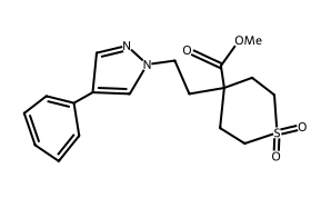 COC(=O)C1(CCn2cc(-c3ccccc3)cn2)CCS(=O)(=O)CC1